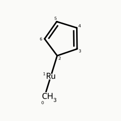 [CH3][Ru][CH]1C=CC=C1